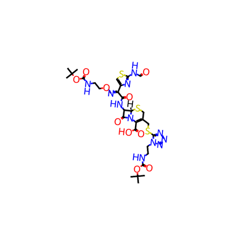 CC(C)(C)OC(=O)NCCON=C(C(=O)NC1C(=O)N2C(C(=O)O)=C(CSc3nnnn3CCNC(=O)OC(C)(C)C)CS[C@@H]12)c1csc(NC=O)n1